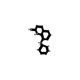 O=c1ccc2cccc(Oc3ccccc3)c2o1